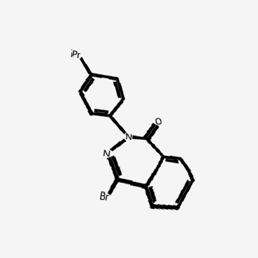 CC(C)c1ccc(-n2nc(Br)c3ccccc3c2=O)cc1